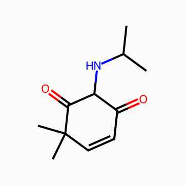 CC(C)NC1C(=O)C=CC(C)(C)C1=O